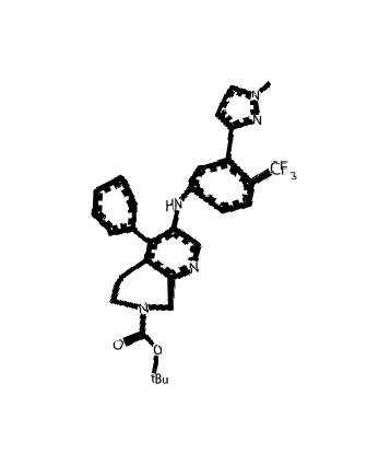 Cn1ccc(-c2cc(Nc3cnc4c(c3-c3ccccc3)CCN(C(=O)OC(C)(C)C)C4)ccc2C(F)(F)F)n1